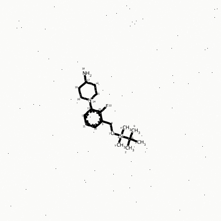 CC(C)(C)[Si](C)(C)OCc1cccc(N2CCC(N)CC2)c1F